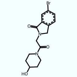 O=C(CN1Cc2ccc(Br)cc2C1=O)N1CCC(O)CC1